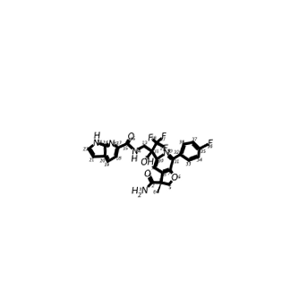 C[C@]1(C(N)=O)COc2c1cc(C(O)(CNC(=O)c1ccc3cc[nH]c3n1)C(F)(F)F)nc2-c1ccc(F)cc1